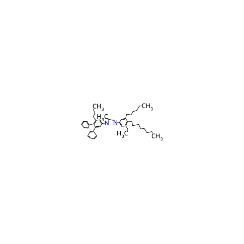 CCCCCCCCc1c(CC)cc(N=CC(C)=Nc2cc(CCCC)c(-c3ccccc3)c(-c3ccccc3)c2)cc1CCCCCC